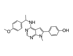 COc1ccc(C(C)Nc2ncnc3c2cc(-c2ccc(O)cc2)n3C)cc1